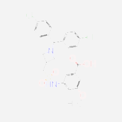 COc1cc(NS(=O)(=O)CC2CN(C(c3ccc(Cl)cc3)c3ccc(Cl)cc3)C2)cc(C(=O)O)c1